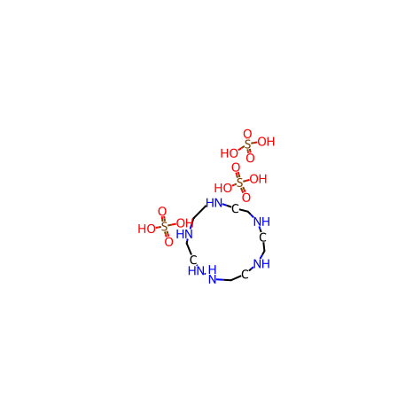 C1CNCCNCCNNCCNCCN1.O=S(=O)(O)O.O=S(=O)(O)O.O=S(=O)(O)O